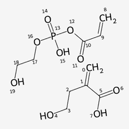 C=C(CCO)C(=O)O.C=CC(=O)OP(=O)(O)OCCO